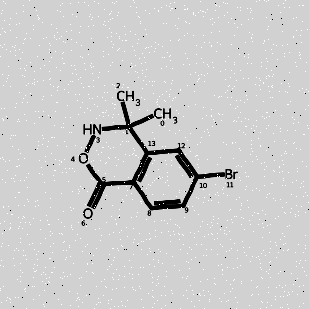 CC1(C)NOC(=O)c2ccc(Br)cc21